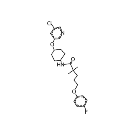 CC(C)(CCCOc1ccc(F)cc1)C(=O)NC1CCC(Oc2cncc(Cl)c2)CC1